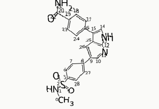 CNS(=O)(=O)c1ccc(-c2cnc3[nH]cc(-c4ccc(C(N)=O)cc4)c3c2)cc1